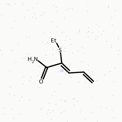 C=C/C=C(\SCC)C(N)=O